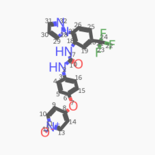 O=C(Nc1ccc(Oc2cc[n+]([O-])cc2)cc1)Nc1cc(C(F)(F)F)ccc1-n1cccn1